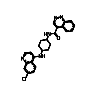 O=C(NC1CCC(Nc2ccnc3cc(Cl)ccc23)CC1)c1cnnc2ccccc12